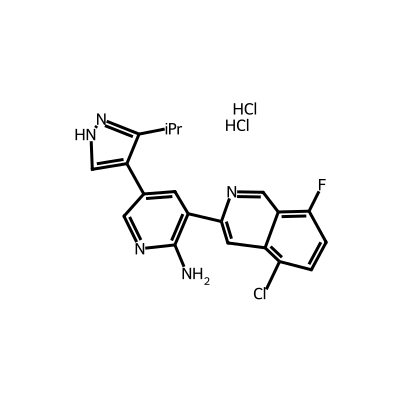 CC(C)c1n[nH]cc1-c1cnc(N)c(-c2cc3c(Cl)ccc(F)c3cn2)c1.Cl.Cl